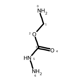 NCOC(=O)NN